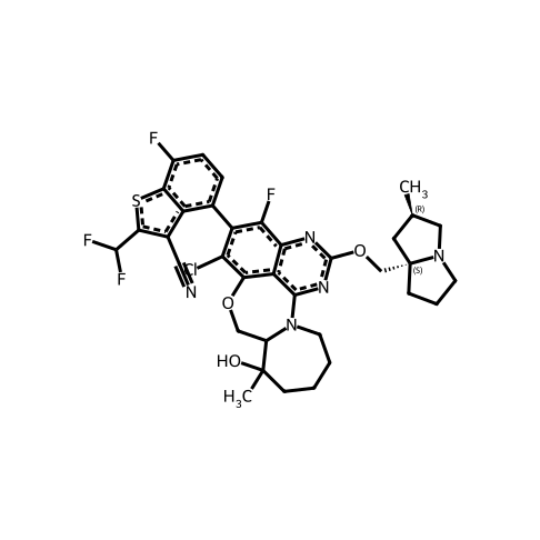 C[C@H]1CN2CCC[C@@]2(COc2nc3c4c(c(Cl)c(-c5ccc(F)c6sc(C(F)F)c(C#N)c56)c(F)c4n2)OCC2N3CCCCC2(C)O)C1